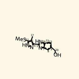 CSc1[nH]nc(-c2nc3cc(CO)ccc3[nH]2)c1C